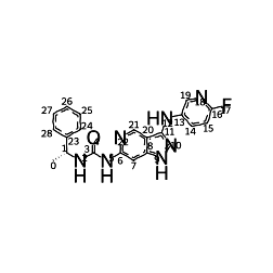 C[C@@H](NC(=O)Nc1cc2[nH]nc(Nc3ccc(F)nc3)c2cn1)c1ccccc1